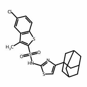 Cc1c(S(=O)(=O)Nc2nc(C34CC5CC(CC(C5)C3)C4)cs2)sc2ccc(Cl)cc12